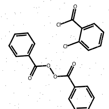 O=C(Cl)c1ccccc1Cl.O=C(OOC(=O)c1ccccc1)c1ccccc1